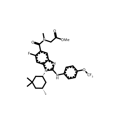 COC(=O)CN(C)C(=O)c1cc2nc(Nc3ccc(OC(F)(F)F)cc3)n([C@@H]3C[C@H](C)CC(C)(C)C3)c2cc1F